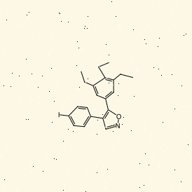 CCc1cc(-c2oncc2-c2ccc(I)cc2)cc(CC)c1CC